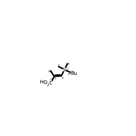 CCC(C)[Si](C)(C)C=C(C)C(=O)O